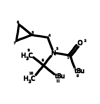 CC(C)(C)C(=O)N(CC1CC1)C(C)(C)C(C)(C)C